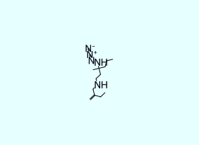 C=C(CC)CNCCC(C)(CCC)NN=[N+]=[N-]